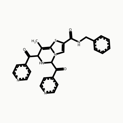 CC1=C2SC(C(=O)NCc3ccccc3)=CN2C(C(=O)c2ccncc2)NC1C(=O)c1ccncc1